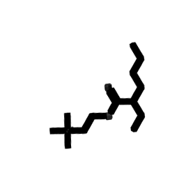 CCCCC(CC)C(=O)OCC[N+](C)(C)C